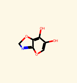 OC1=COC2=NCOC2=C1O